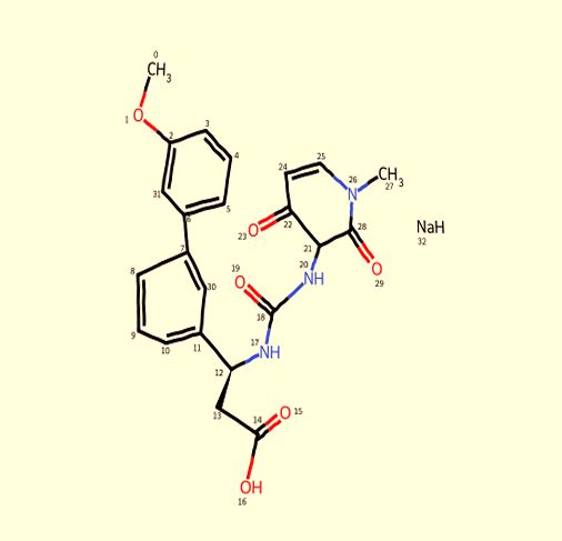 COc1cccc(-c2cccc([C@H](CC(=O)O)NC(=O)NC3C(=O)C=CN(C)C3=O)c2)c1.[NaH]